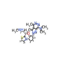 CNCCC(Oc1ccccc1-n1nc2c(N(C)C)nnc(C)c2c1C)c1nccs1